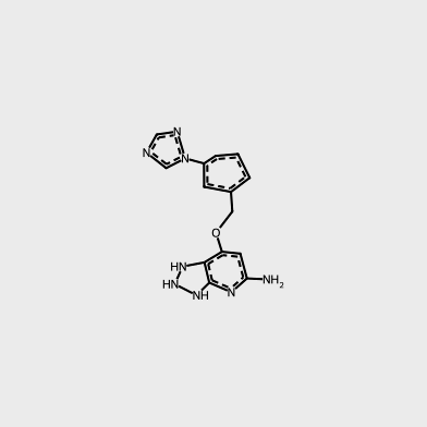 Nc1cc(OCc2cccc(-n3cncn3)c2)c2c(n1)NNN2